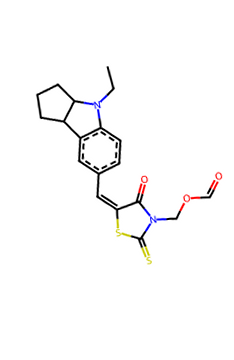 CCN1c2ccc(/C=C3/SC(=S)N(COC=O)C3=O)cc2C2CCCC21